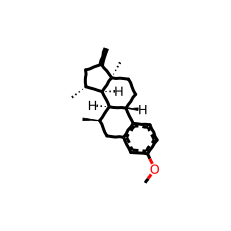 C=C1C[C@@H](C)[C@@H]2[C@@H]3[C@H](C)Cc4cc(OC)ccc4[C@H]3CC[C@]12C